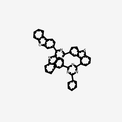 c1ccc(-c2nc(-c3ccccc3)nc(-c3cccc4sc5ccc(-c6nc(-c7ccc8c(c7)oc7ccccc78)c7sc8ccccc8c7n6)cc5c34)n2)cc1